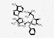 Cc1ncnc2c1ncn2[C@@H]1O[C@H](C(C)OP(=S)(NC(C)C(=O)OCC(C)(C)C)Oc2ccccc2)[C@@H](O)[C@@]1(C)O